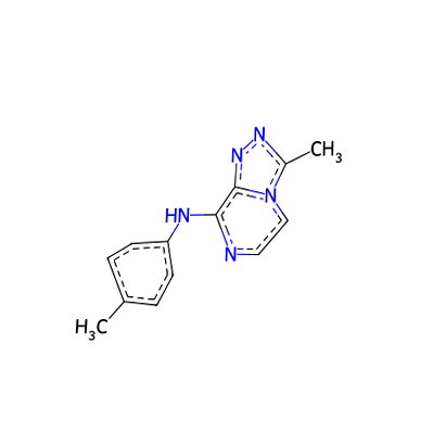 Cc1ccc(Nc2nccn3c(C)nnc23)cc1